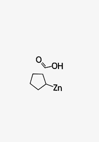 O=CO.[Zn][CH]1CCCC1